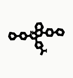 C=C(I)c1ccc(-c2cc(-c3ccc(-c4ccccc4)cc3)nc3c2cc(-c2ccc(-c4ccccc4)cc2)c2ccccc23)cc1